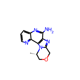 C[C@H]1COCc2nc3c(N)nc4cccnc4c3n21